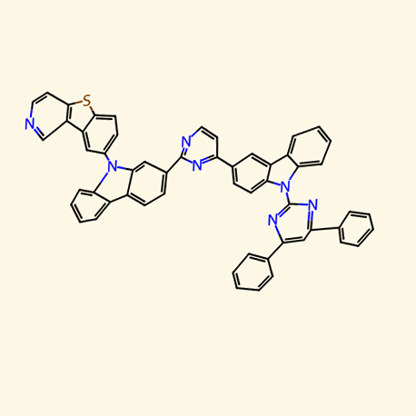 c1ccc(-c2cc(-c3ccccc3)nc(-n3c4ccccc4c4cc(-c5ccnc(-c6ccc7c8ccccc8n(-c8ccc9sc%10ccncc%10c9c8)c7c6)n5)ccc43)n2)cc1